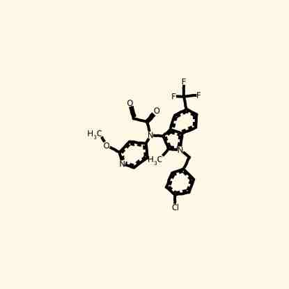 COc1cc(N(C(=O)C=O)c2c(C)n(Cc3ccc(Cl)cc3)c3ccc(C(F)(F)F)cc23)ccn1